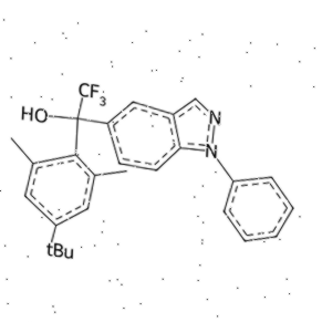 Cc1cc(C(C)(C)C)cc(C)c1C(O)(c1ccc2c(cnn2-c2ccccc2)c1)C(F)(F)F